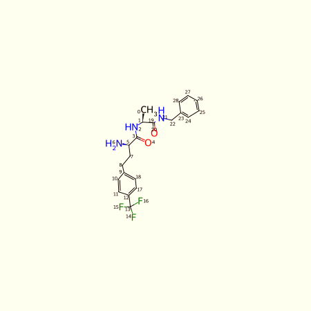 C[C@H](NC(=O)[C@H](N)CCc1ccc(C(F)(F)F)cc1)C(=O)NCc1cc[c]cc1